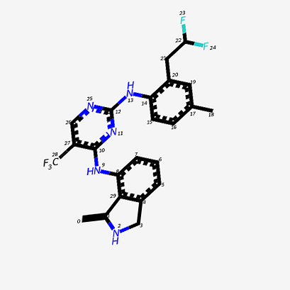 C=C1NCc2cccc(Nc3nc(Nc4ccc(C)cc4CC(F)F)ncc3C(F)(F)F)c21